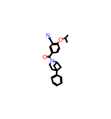 CC(C)Oc1ccc(C(=O)N2CCC3(c4ccccc4)CC2C3)cc1C#N